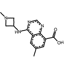 Cc1cc(C(=O)O)c2ncnc(NC3CN(C)C3)c2c1